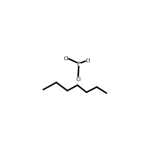 CCCCCCC.ClP(Cl)Cl